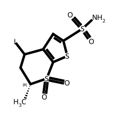 C[C@@H]1CC(I)c2cc(S(N)(=O)=O)sc2S1(=O)=O